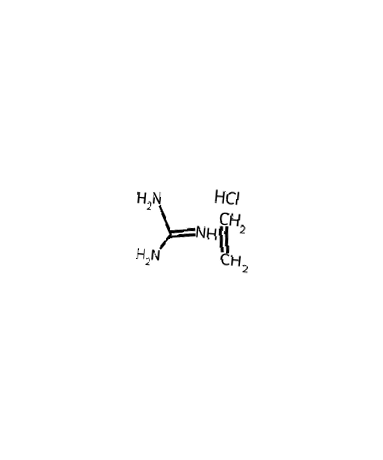 C=C.Cl.N=C(N)N